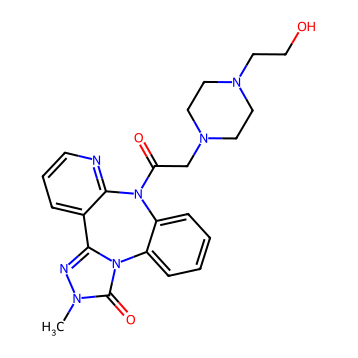 Cn1nc2n(c1=O)-c1ccccc1N(C(=O)CN1CCN(CCO)CC1)c1ncccc1-2